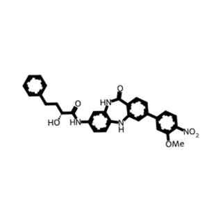 COc1cc(-c2ccc3c(c2)Nc2ccc(NC(=O)[C@H](O)CCc4ccccc4)cc2NC3=O)ccc1[N+](=O)[O-]